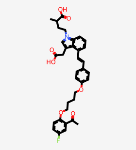 CC(=O)c1cc(F)ccc1OCCCCOc1ccc(/C=C/c2cccc3c2c(CC(=O)O)cn3CCC(C)C(=O)O)cc1